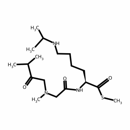 CSC(=O)[C@H](CCCCNC(C)C)NC(=O)CN(C)CC(=O)C(C)C